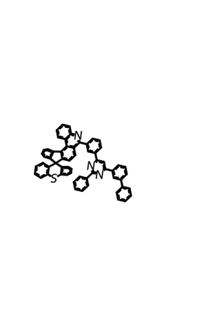 c1ccc(-c2cccc(-c3cc(-c4cccc(-c5nc6ccccc6c6c7c(ccc56)C5(c6ccccc6Sc6ccccc65)c5ccccc5-7)c4)nc(-c4ccccc4)n3)c2)cc1